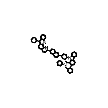 CC1c2c(ccc3c4ccccc4n(C4=CC=C(c5ccc6cc(-c7ccc8ccc9c(C%10=CC=CCC%10)c%10ccccc%10nc9c8n7)ccc6c5)CC4)c23)-c2ccccc2CN1c1ccccc1